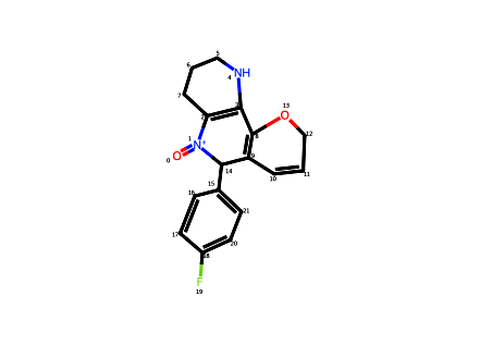 O=[N+]1C2=C(NCCC2)C2=C(C=CCO2)C1c1ccc(F)cc1